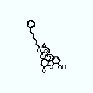 O=C(OCCCCCCc1ccccc1)OC12CCC(=O)C3Oc4c(O)ccc5c4C31CCN(CC1CC1)C2C5